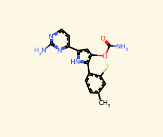 Cc1ccc(-c2[nH]c(-c3ccnc(N)n3)cc2OC(N)=O)c(F)c1